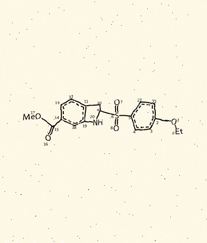 CCOc1ccc(S(=O)(=O)C2Cc3ccc(C(=O)OC)cc3N2)cc1